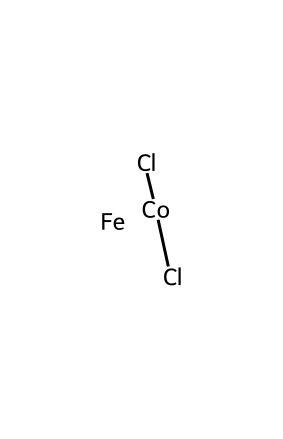 [Cl][Co][Cl].[Fe]